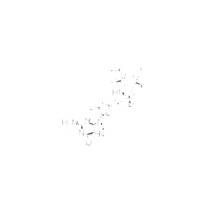 CCOC(=O)COP(=O)(NCC(=O)OC(C)C)OC[C@@H]1C[C@H](C)[C@H](n2cnc3c(OC)nc(N)nc32)O1